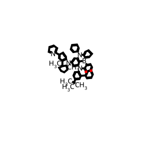 CC(C)(C)c1ccc(N2c3ccccc3B3c4ccccc4N(c4ccccc4)c4cc(N5c6ccc(-c7ccccn7)cc6C6(C)CCCCC56C)cc2c43)c(-c2ccccc2)c1